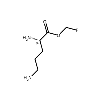 NCCC[C@H](N)C(=O)OCF